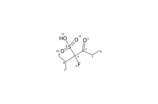 CCC(=O)C(F)(C(C)C)S(=O)(=O)O